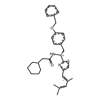 CC(C)=C/C(C)=C/c1csc([C@H](Cc2ccc(OCc3ccccc3)cc2)NC(=O)CC2CCCCC2)n1